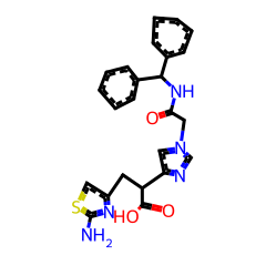 Nc1nc(CC(C(=O)O)c2cn(CC(=O)NC(c3ccccc3)c3ccccc3)cn2)cs1